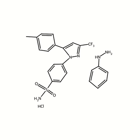 Cc1ccc(-c2cc(C(F)(F)F)nn2-c2ccc(S(N)(=O)=O)cc2)cc1.Cl.NNc1ccccc1